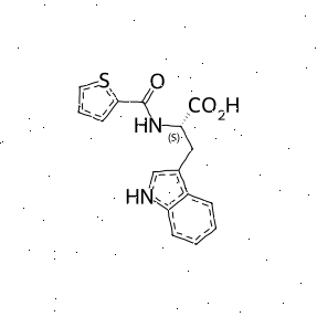 O=C(N[C@@H](Cc1c[nH]c2ccccc12)C(=O)O)c1cccs1